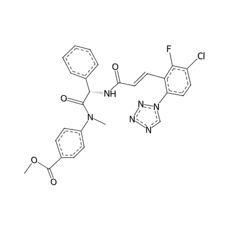 COC(=O)c1ccc(N(C)C(=O)[C@@H](NC(=O)/C=C/c2c(-n3cnnn3)ccc(Cl)c2F)c2ccccc2)cc1